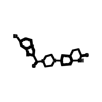 CCc1ccn2cc(C(=O)N3CCN(c4ccc5c(c4)CCC(=O)N5)CC3)nc2c1